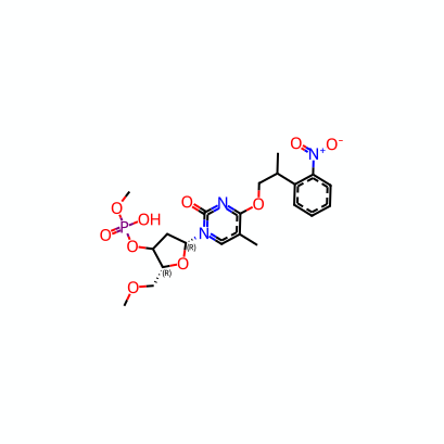 COC[C@H]1O[C@@H](n2cc(C)c(OCC(C)c3ccccc3[N+](=O)[O-])nc2=O)CC1OP(=O)(O)OC